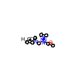 CC1(C)c2ccccc2-c2ccc3c(c21)c1ccccc1n3-c1cccc(-c2nc(-c3ccc4c(c3)oc3ccccc34)nc(-n3c4ccccc4c4ccccc43)n2)c1